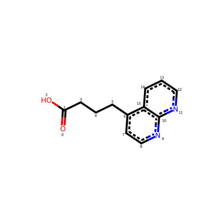 O=C(O)CCCc1ccnc2ncccc12